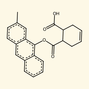 Cc1ccc2cc3ccccc3c(OC(=O)C3CC=CCC3C(=O)O)c2c1